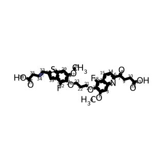 COc1cc2nc(C(=O)CCC(=O)O)ccc2c(F)c1OCCCOc1c(OC)cc2sc(/C=C/CC(=O)O)cc2c1F